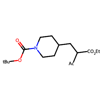 CCOC(=O)C(CC1CCN(C(=O)OC(C)(C)C)CC1)C(C)=O